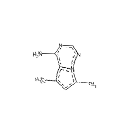 Cc1cc(C)n2ncnc(N)c12